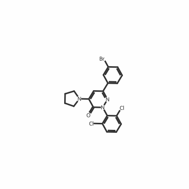 O=c1c(N2CCCC2)cc(-c2cccc(Br)c2)nn1-c1c(Cl)cccc1Cl